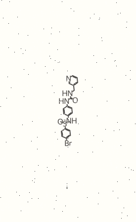 O=C(NCc1cccnc1)Nc1ccc(N[S+]([O-])c2ccc(Br)cc2)cc1